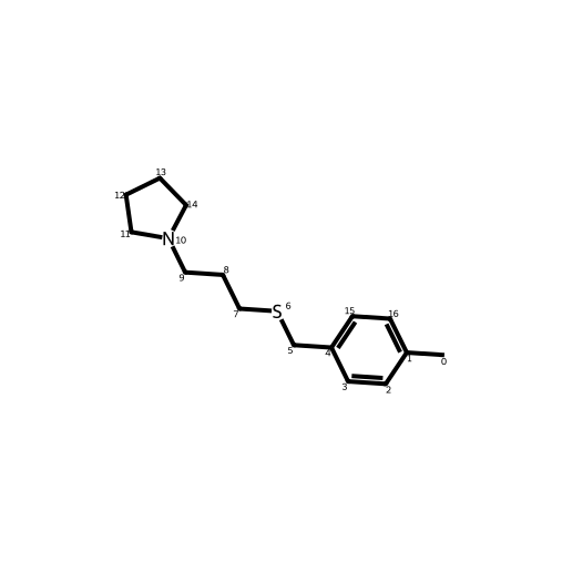 Cc1ccc(CSCCCN2CCCC2)cc1